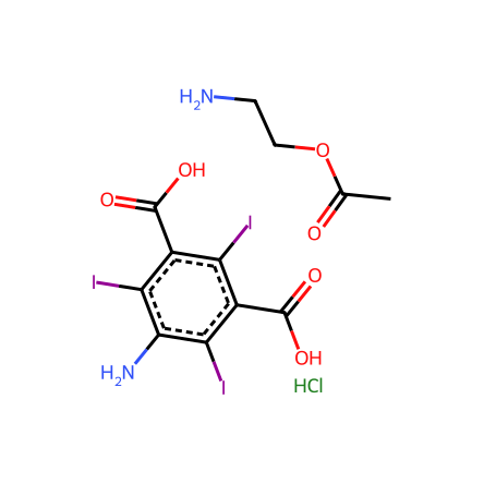 CC(=O)OCCN.Cl.Nc1c(I)c(C(=O)O)c(I)c(C(=O)O)c1I